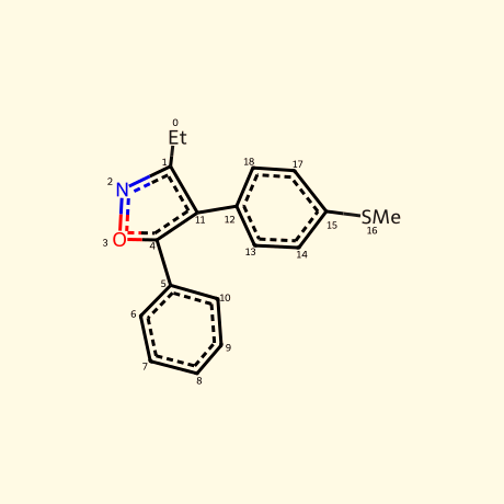 CCc1noc(-c2ccccc2)c1-c1ccc(SC)cc1